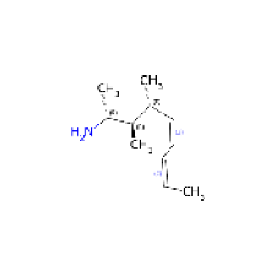 C/C=C\C=C/[C@@H](C)[C@@H](C)[C@@H](C)N